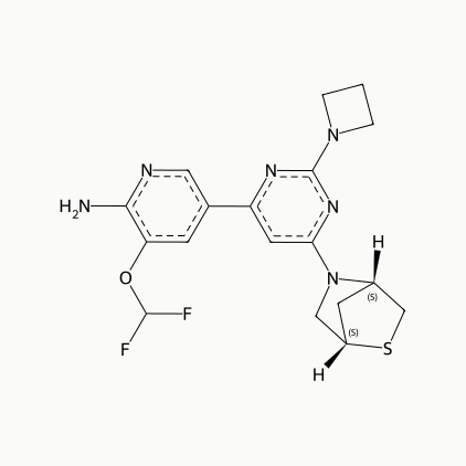 Nc1ncc(-c2cc(N3C[C@@H]4C[C@H]3CS4)nc(N3CCC3)n2)cc1OC(F)F